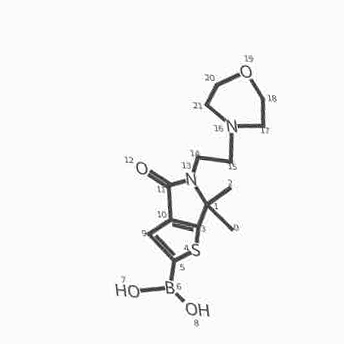 CC1(C)c2sc(B(O)O)cc2C(=O)N1CCN1CCOCC1